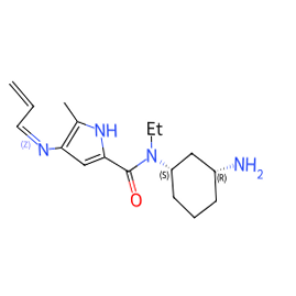 C=C/C=N\c1cc(C(=O)N(CC)[C@H]2CCC[C@@H](N)C2)[nH]c1C